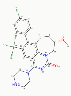 CO[C@H]1CSc2c(-c3ccc(F)cc3)c(C(F)(F)F)cc3c(N4CCNCC4)nc(=O)n(c23)C1